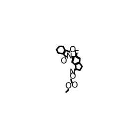 CCOC(=O)CON=C1CCc2cc(F)c(N3C(=O)C4=C(CCCC4)C3=O)cc21